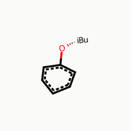 CC[C@@H](C)Oc1ccccc1